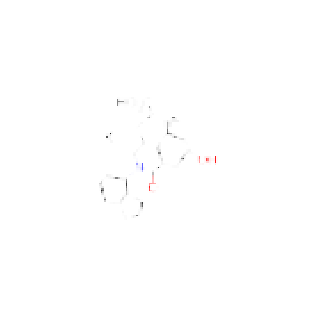 CCCc1cc(O)cc(C(=O)N(CCCCC(=O)O)c2cccc3c2C=CC3)c1.[K]